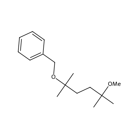 COC(C)(C)CCC(C)(C)OCc1ccccc1